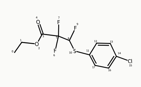 CCOC(=O)C(F)(F)C(F)Sc1ccc(Cl)cc1